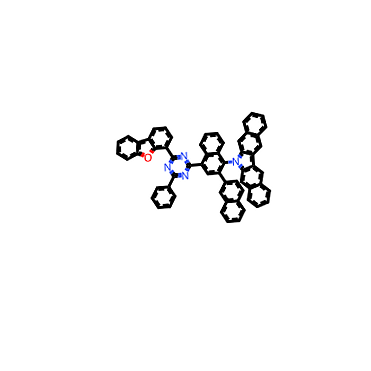 c1ccc(-c2nc(-c3cc(-c4ccc5ccccc5c4)c(-n4c5cc6ccccc6cc5c5cc6ccccc6cc54)c4ccccc34)nc(-c3cccc4c3oc3ccccc34)n2)cc1